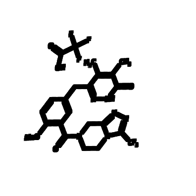 COc1ccc(Cc2n[nH]c(=O)c(C)c2C)cc1C(=O)N1CCn2c(nnc2C(F)(F)F)C1.O=C(O)C(F)(F)F